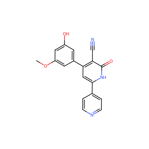 COc1cc(O)cc(-c2cc(-c3ccncc3)[nH]c(=O)c2C#N)c1